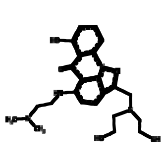 CN(C)CCNc1ccc2c(CN(CCO)CCO)nn3c4cccc(O)c4c(=O)c1c23